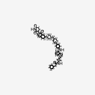 O=C1CC[C@H](n2nnc3ccc(N4CCN(CC5CCN(c6ccc(Nc7ncnc8c7ncn8C7CC(NC(=O)Cc8ccccc8)C7)cc6)CC5)CC4)cc3c2=O)C(=O)N1